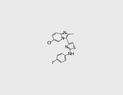 Cc1nc2ccc(Cl)cn2c1-c1csc(Nc2ccc(I)cc2)n1